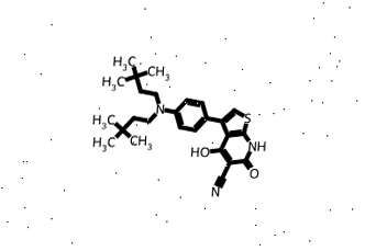 CC(C)(C)CCN(CCC(C)(C)C)c1ccc(-c2csc3[nH]c(=O)c(C#N)c(O)c23)cc1